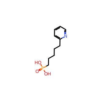 O=P(O)(O)CCCCCc1ccccn1